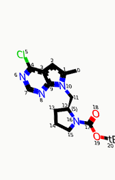 Cc1cc2c(Cl)ncnc2n1C[C@@H]1CCCN1C(=O)OC(C)(C)C